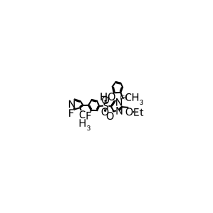 CCOCc1nc(=O)c(S(=O)(=O)c2ccc(-c3ccnc(F)c3C)c(F)c2)c(O)n1[C@@H](C)c1ccccc1